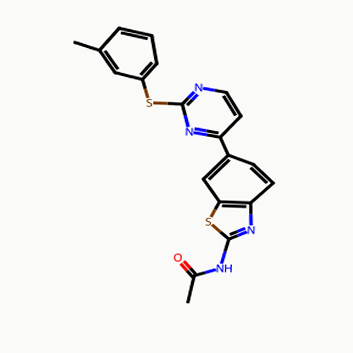 CC(=O)Nc1nc2ccc(-c3ccnc(Sc4cccc(C)c4)n3)cc2s1